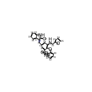 NS(=O)(=O)c1cc(/C=C2\C(=O)Nc3ccccc32)cc(NCc2ccco2)c1Oc1ccccc1